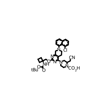 CC(C)(C)OC(=O)NC1(COc2nc3c(c(N4CCN(C(=O)O)C(CC#N)C4)n2)CCN(c2cccc4cccc(Cl)c24)C3)CCC1